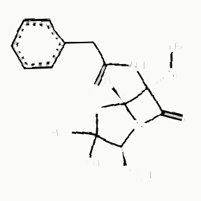 CCCCN[C@]1(NC(=O)Cc2ccccc2)C(=O)N2[C@@H](C(=O)O)C(C)(C)S[C@@H]21